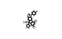 Cc1ccc(-n2ncc3cc(C(O)(c4cc(Cl)cc(Cl)c4)C4CCCC4)ccc32)cc1